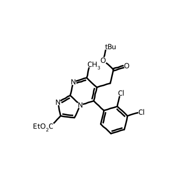 CCOC(=O)c1cn2c(-c3cccc(Cl)c3Cl)c(CC(=O)OC(C)(C)C)c(C)nc2n1